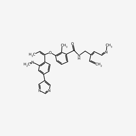 C=C/C(=C\C=N/C)CNC(=O)c1cccc(O/C(=C/C)c2ccc(-c3cncnc3)cc2N=C)c1C